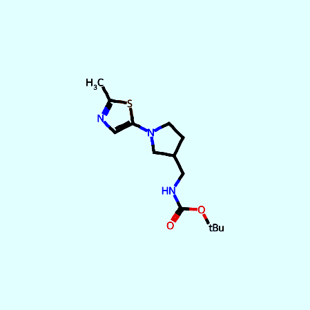 Cc1ncc(N2CCC(CNC(=O)OC(C)(C)C)C2)s1